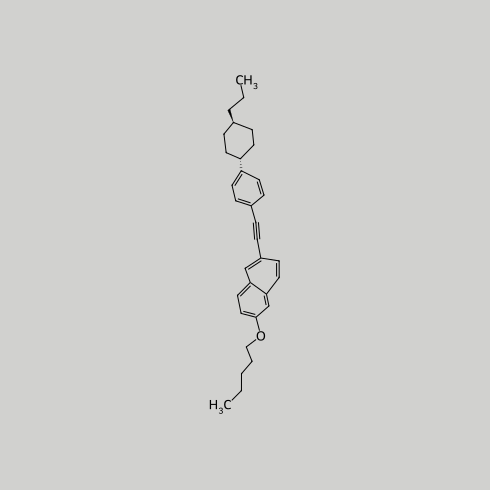 CCCCCOc1ccc2cc(C#Cc3ccc([C@H]4CC[C@H](CCC)CC4)cc3)ccc2c1